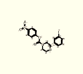 O=C(Oc1ccc([N+](=O)[O-])cc1)N1CCO[C@@H](c2cccc(F)c2)C1